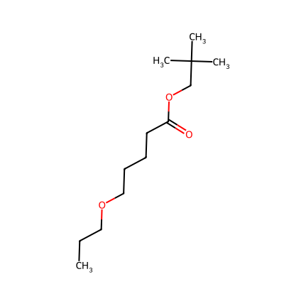 CCCOCCCCC(=O)OCC(C)(C)C